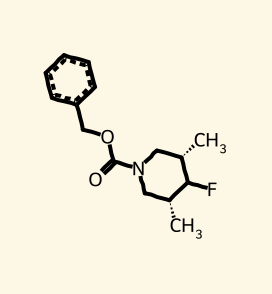 C[C@@H]1CN(C(=O)OCc2ccccc2)C[C@H](C)C1F